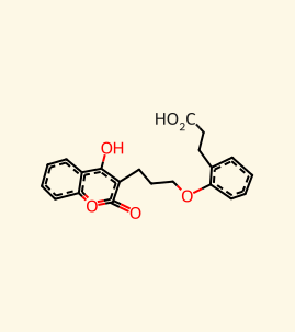 O=C(O)CCc1ccccc1OCCCc1c(O)c2ccccc2oc1=O